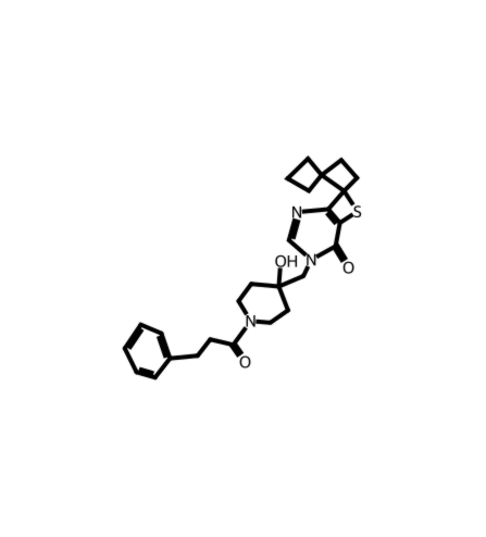 O=C(CCc1ccccc1)N1CCC(O)(Cn2cnc3c(c2=O)SC32CCC23CCC3)CC1